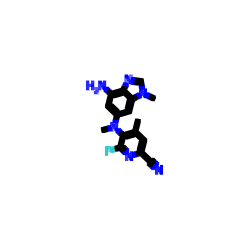 Cc1cc(C#N)nc(F)c1N(C)c1cc(N)c2ncn(C)c2c1